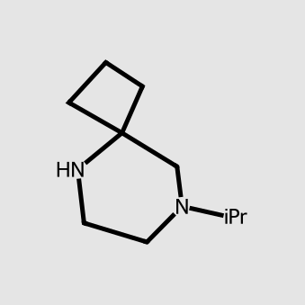 CC(C)N1CCNC2(CCC2)C1